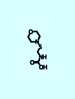 O=C(O)NCSN1CCOCC1